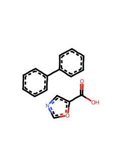 O=C(O)c1cnco1.c1ccc(-c2ccccc2)cc1